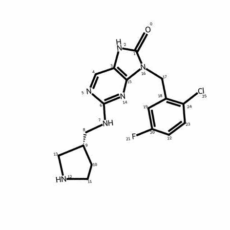 O=c1[nH]c2cnc(NC[C@@H]3CCNC3)nc2n1Cc1cc(F)ccc1Cl